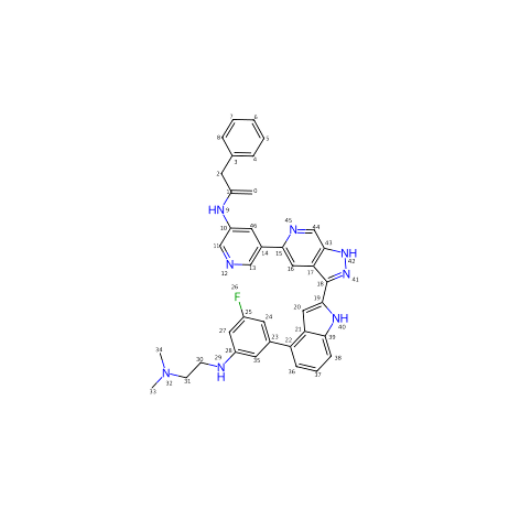 C=C(Cc1ccccc1)Nc1cncc(-c2cc3c(-c4cc5c(-c6cc(F)cc(NCCN(C)C)c6)cccc5[nH]4)n[nH]c3cn2)c1